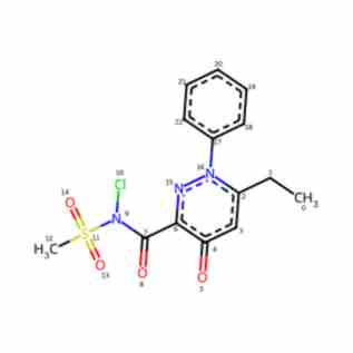 CCc1cc(=O)c(C(=O)N(Cl)S(C)(=O)=O)nn1-c1ccccc1